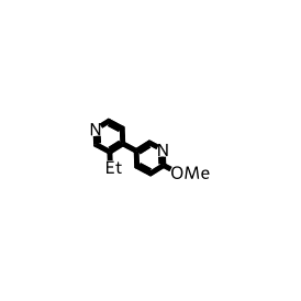 CCc1cnccc1-c1ccc(OC)nc1